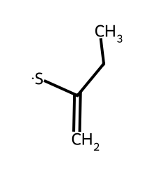 C=C([S])CC